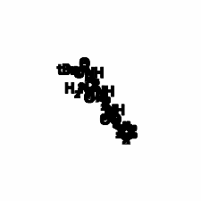 CC(C)(C)OC(=O)NCCC(NCCCNC(=O)OCc1ccccc1)C(N)=O